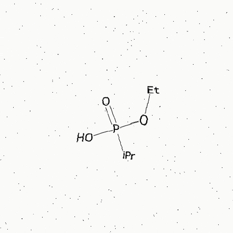 CCOP(=O)(O)C(C)C